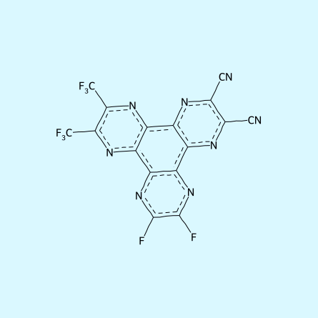 N#Cc1nc2c3nc(F)c(F)nc3c3nc(C(F)(F)F)c(C(F)(F)F)nc3c2nc1C#N